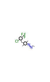 CCN(C)C=Nc1cc(C)c(Cc2cc(C(F)(F)F)ccc2Cl)cc1C